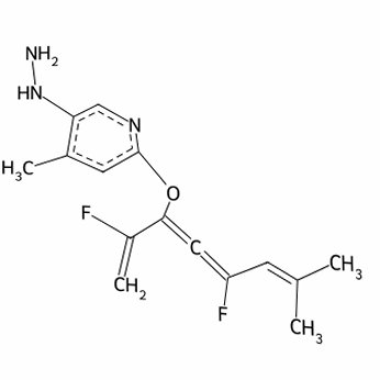 C=C(F)C(=C=C(F)C=C(C)C)Oc1cc(C)c(NN)cn1